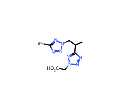 CC(C)c1nnn(CC(C)c2nnn(CC(=O)O)n2)n1